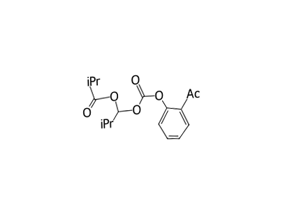 CC(=O)c1ccccc1OC(=O)OC(OC(=O)C(C)C)C(C)C